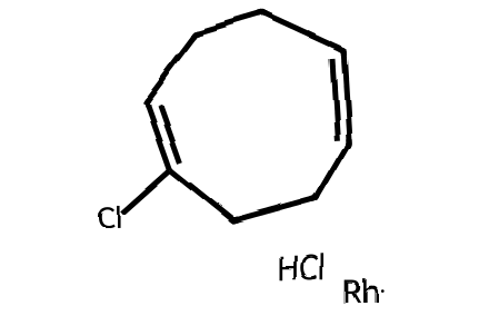 Cl.ClC1=CCCC=CCC1.[Rh]